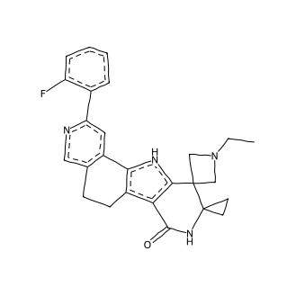 CCN1CC2(C1)c1[nH]c3c(c1C(=O)NC21CC1)CCc1cnc(-c2ccccc2F)cc1-3